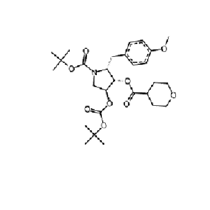 COc1ccc(C[C@@H]2[C@H](OC(=O)C3CCOCC3)[C@@H](OC(=O)OC(C)(C)C)CN2C(=O)OC(C)(C)C)cc1